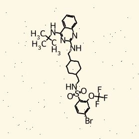 CC(C)(C)Nc1nc(NCC2CCC(CNS(=O)(=O)c3ccc(Br)cc3OC(F)(F)F)CC2)nc2ccccc12